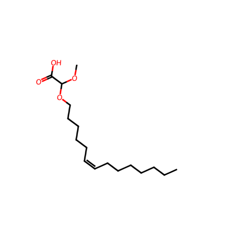 CCCCCCC/C=C\CCCCCOC(OC)C(=O)O